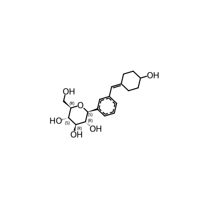 OC[C@H]1O[C@@H](c2cccc(C=C3CCC(O)CC3)c2)[C@H](O)[C@@H](O)[C@@H]1O